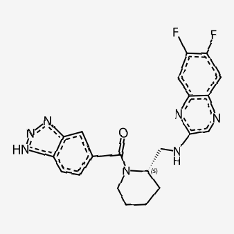 O=C(c1ccc2[nH]nnc2c1)N1CCCC[C@H]1CNc1cnc2cc(F)c(F)cc2n1